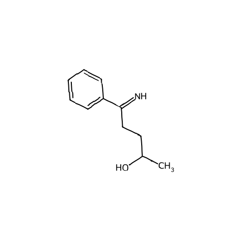 CC(O)CCC(=N)c1ccccc1